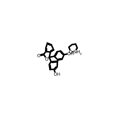 C1CC[SiH2]OC1.O=C1OC(c2ccc(O)cc2)(c2ccc(O)cc2)c2ccccc21